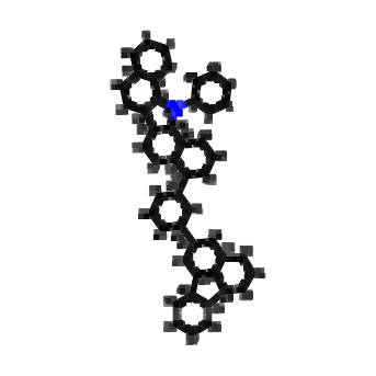 c1ccc(-n2c3c4ccccc4ccc3c3ccc4c(-c5cccc(-c6cc7c8c(cccc8c6)-c6ccccc6-7)c5)cccc4c32)cc1